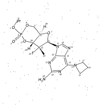 CC(C)OP1(=O)OC[C@H]2O[C@@H](n3cnc4c(N5CCC5)nc(N)nc43)[C@](C)(F)[C@@H]2O1